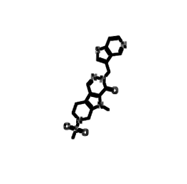 Cn1c2c(c3cnn(Cc4csc5ccncc45)c(=O)c31)CCN(S(C)(=O)=O)C2